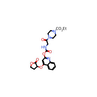 CCOC(=O)N1CCN(C(=O)CNC(=O)Oc2cc(OC3CCOC3=O)c3ccccc3n2)CC1